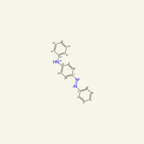 [c]1cccc(N=Nc2ccc(Nc3ccccc3)cc2)c1